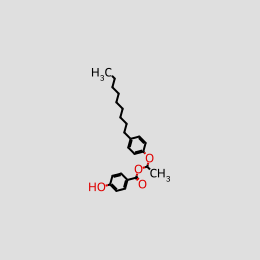 CCCCCCCCCc1ccc(OC(C)OC(=O)c2ccc(O)cc2)cc1